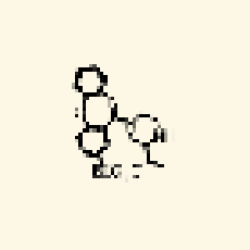 CCOC(=O)[C@@H](C)C1CN(C2=Nc3ccccc3Oc3ccc(Cl)cc32)CCN1